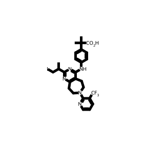 CC(CI)c1nc2c(c(Nc3ccc(C(C)(C)C(=O)O)cc3)n1)CCN(c1ncccc1C(F)(F)F)CC2